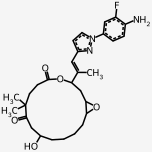 C/C(=C\c1ccn(-c2ccc(N)c(F)c2)n1)C1CC2OC2CCCCC(O)CC(=O)C(C)(C)CCC(=O)O1